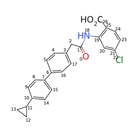 O=C(Cc1ccc(-c2ccc(C3CC3)cc2)cc1)Nc1cc(Cl)ccc1C(=O)O